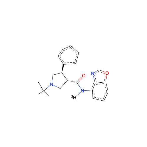 [2H]N(C(=O)[C@@H]1CN(C(C)(C)C)C[C@H]1c1ccccc1)c1cccc2ocnc12